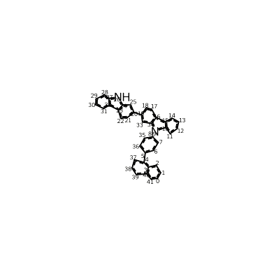 c1ccc2c(-c3ccc(-n4c5ccccc5c5ccc(-c6ccc7c(c6)[nH]c6ccccc67)cc54)cc3)cccc2c1